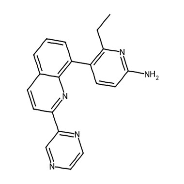 CCc1nc(N)ccc1-c1cccc2ccc(-c3cnccn3)nc12